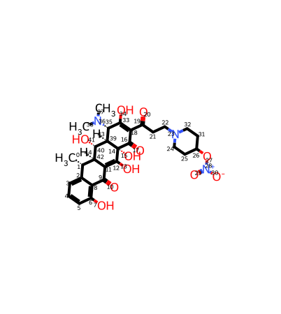 C[C@H]1c2cccc(O)c2C(=O)C2=C(O)[C@]3(O)C(=O)C(C(=O)CCN4CCC(O[N+](=O)[O-])CC4)=C(O)[C@@H](N(C)C)[C@@H]3[C@@H](O)[C@@H]21